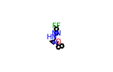 O=C(c1cccc2ccccc12)N1CC2CC2C1CNc1cnc2cc(F)c(F)cc2n1